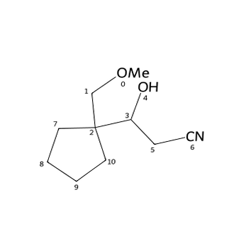 COCC1(C(O)CC#N)CCCC1